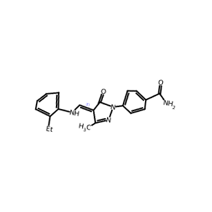 CCc1ccccc1N/C=C1/C(=O)N(c2ccc(C(N)=O)cc2)N=C1C